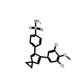 COc1c(Cl)cc(C2=CC3(C=C2c2ccc(S(N)(=O)=O)cc2)CC3)cc1Cl